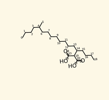 CCCCC(C)CCCCCCCCC(CCCC)C(C(=O)O)C(=O)O